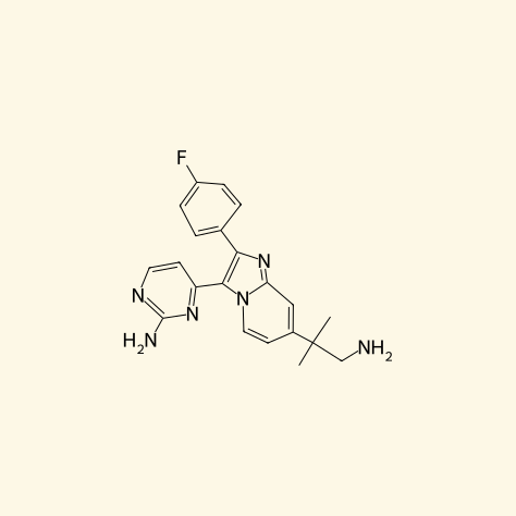 CC(C)(CN)c1ccn2c(-c3ccnc(N)n3)c(-c3ccc(F)cc3)nc2c1